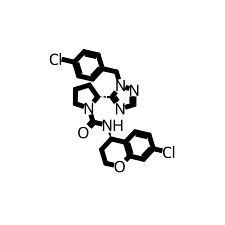 O=C(N[C@H]1CCOc2cc(Cl)ccc21)N1CCC[C@@H]1c1ncnn1Cc1ccc(Cl)cc1